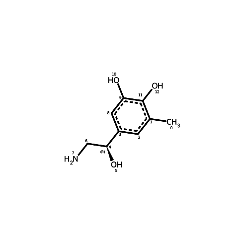 Cc1cc([C@@H](O)CN)cc(O)c1O